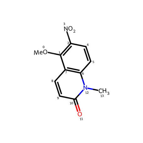 COc1c([N+](=O)[O-])ccc2c1ccc(=O)n2C